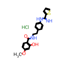 COc1ccc(C(=O)NCCc2ccc(NC(=N)c3cccs3)cc2)c(O)c1.Cl